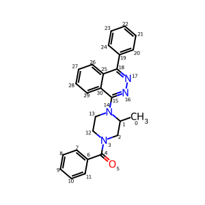 CC1CN(C(=O)c2ccccc2)CCN1c1nnc(-c2ccccc2)c2ccccc12